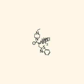 CCN1CCN(C(=O)[C@@H](N)Cc2nc3ccccc3s2)CC1.Cl.Cl